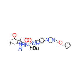 CCCCC(NC(=O)c1[nH]c2c(c1C)C(=O)CC(C)(C)C2)C(=O)NCc1ccc(N2CCN(CCOCc3ccccc3)CC2)cc1